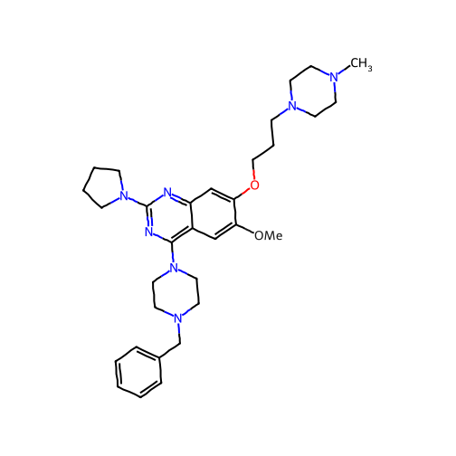 COc1cc2c(N3CCN(Cc4ccccc4)CC3)nc(N3CCCC3)nc2cc1OCCCN1CCN(C)CC1